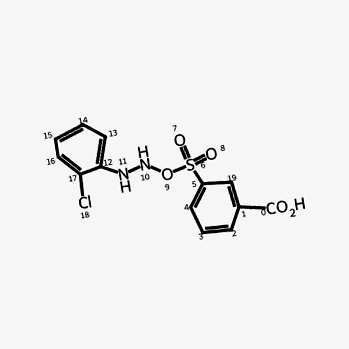 O=C(O)c1cccc(S(=O)(=O)ONNc2ccccc2Cl)c1